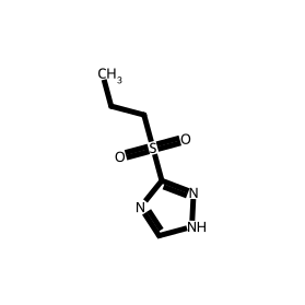 CCCS(=O)(=O)c1nc[nH]n1